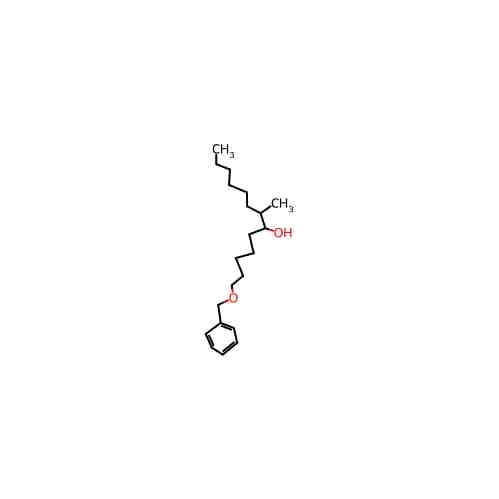 CCCCCCC(C)C(O)CCCCCOCc1ccccc1